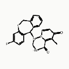 Cc1c2n(ccc1=O)N(C1c3ccccc3CSc3cc(F)ccc31)CNC2=O